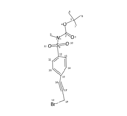 CN(C(=O)OC(C)(C)C)S(=O)(=O)c1ccc(C#CCBr)cc1